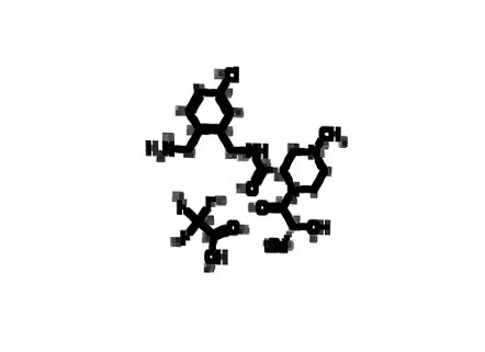 CN1CCN(C(=O)[C@H](O)C(C)(C)C)[C@H](C(=O)NCc2cc(Cl)ccc2CN)C1.O=C(O)C(F)(F)F